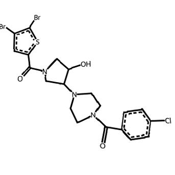 O=C(c1ccc(Cl)cc1)N1CCN(C2CN(C(=O)c3cc(Br)c(Br)s3)CC2O)CC1